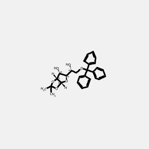 CC1(C)O[C@H]2O[C@H]([C@H](O)COC(c3ccccc3)(c3ccccc3)c3ccccc3)[C@@H](O)[C@H]2O1